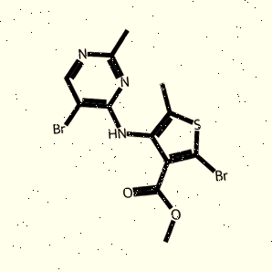 COC(=O)c1c(Br)sc(C)c1Nc1nc(C)ncc1Br